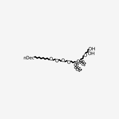 CCCCCCCCCCCCCCCCCCOCCOCCOCCOCCC[Si](C)(O[Si](C)(C)O[Si](C)(C)C)O[Si](C)(CCCOCC(O)CO)O[Si](C)(C)C